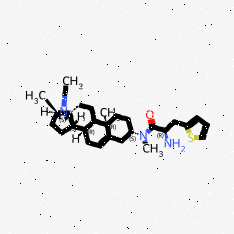 C[C@H]1[C@H]2CC[C@H]3[C@@H]4CC=C5C[C@@H](N(C)C(=O)[C@H](N)Cc6cccs6)CC[C@]5(C)C4CC[C@]23CN1C